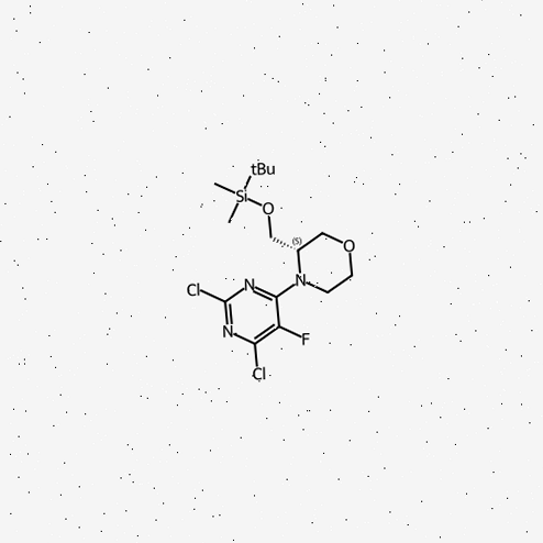 CC(C)(C)[Si](C)(C)OC[C@@H]1COCCN1c1nc(Cl)nc(Cl)c1F